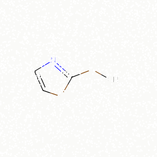 CSc1nc[c]s1